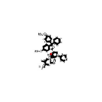 COc1ccc(C(OC[C@@]23CN(c4ccncn4)[C@@H]([C@H](n4cc(C)c(N)nc4=O)O2)[C@@H]3O)(c2ccccc2)c2ccc(OC)cc2)cc1